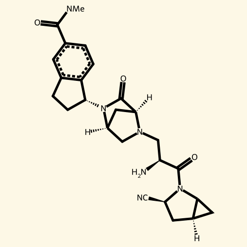 CNC(=O)c1ccc2c(c1)CC[C@H]2N1C(=O)[C@@H]2C[C@H]1CN2C[C@H](N)C(=O)N1C2C[C@H]2C[C@H]1C#N